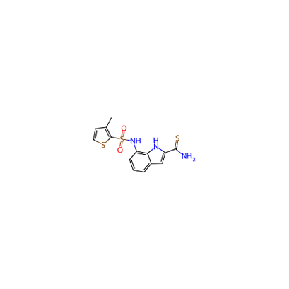 Cc1ccsc1S(=O)(=O)Nc1cccc2cc(C(N)=S)[nH]c12